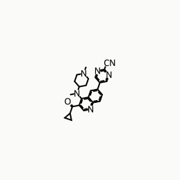 CN1CCC(N(C)c2c(C(=O)C3CC3)cnc3ccc(-c4cnc(C#N)nc4)cc23)CC1